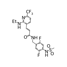 CCNc1nc(C(F)(F)F)ccc1C=CC(=O)NCc1cc(F)c(NS(C)(=O)=O)cc1F